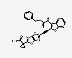 O=C(Nc1c(C#Cc2nc3oc(C4(C(=O)O)CC4)nc3o2)oc2ncccc12)OCc1ccccc1